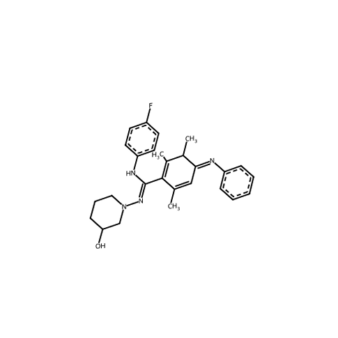 CC1=CC(=Nc2ccccc2)C(C)C(C)=C1C(=NN1CCCC(O)C1)Nc1ccc(F)cc1